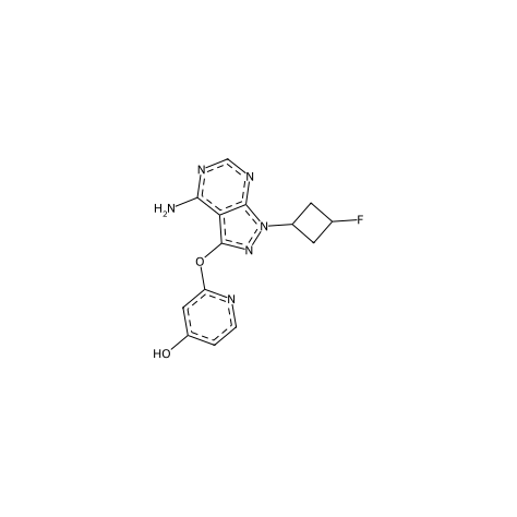 Nc1ncnc2c1c(Oc1cc(O)ccn1)nn2C1CC(F)C1